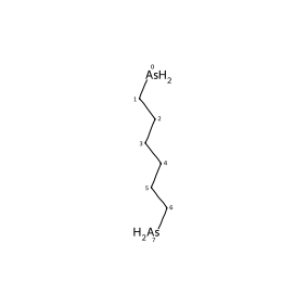 [AsH2]CCCCCC[AsH2]